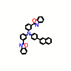 c1cc(-c2nc3ccccc3o2)cc(N(c2ccc(-c3ccc4ccccc4c3)cc2)c2cccc(-c3nc4ccccc4o3)c2)c1